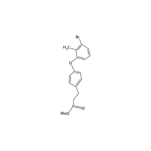 COC(=O)CCc1ccc(Oc2cccc(Br)c2C)cc1